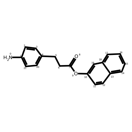 Nc1ccc(CCC(=O)Oc2ccc3ccccc3c2)cc1